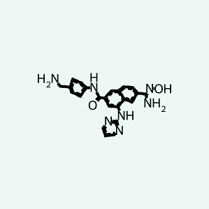 NCc1ccc(NC(=O)c2cc(Nc3ncccn3)c3cc(C(N)=NO)ccc3c2)cc1